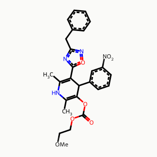 COCCOC(=O)OC1=C(C)NC(C)=C(c2nc(Cc3ccccc3)no2)C1c1cccc([N+](=O)[O-])c1